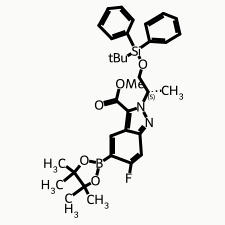 COC(=O)c1c2cc(B3OC(C)(C)C(C)(C)O3)c(F)cc2nn1[C@@H](C)CO[Si](c1ccccc1)(c1ccccc1)C(C)(C)C